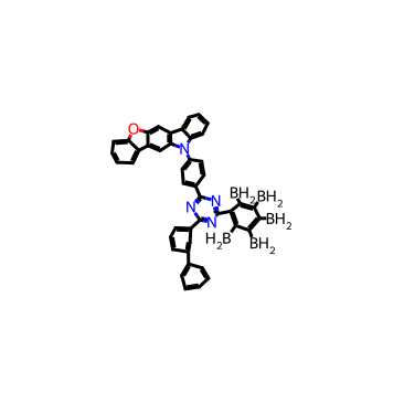 Bc1c(B)c(B)c(-c2nc(-c3ccc(-n4c5ccccc5c5cc6oc7ccccc7c6cc54)cc3)nc(-c3cccc(-c4ccccc4)c3)n2)c(B)c1B